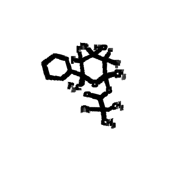 CCC(C)(C)C(=O)OC1(C(F)(F)F)OC(C2CCCCC2)(C(F)(F)F)C(F)(F)C(O)(CC)C1(F)F